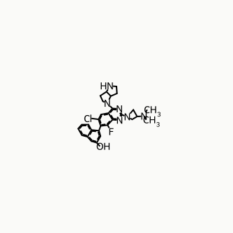 CN(C)C1CN(c2nc(N3CCC4NCCC43)c3cc(Cl)c(-c4cc(O)cc5ccccc45)c(F)c3n2)C1